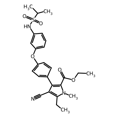 CCOC(=O)c1c(-c2ccc(Oc3cccc(NS(=O)(=O)C(C)C)c3)cc2)c(C#N)c(CC)n1C